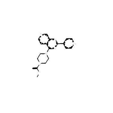 CC(C)(C)OC(=O)N1CCN(c2nc(-c3ccncc3)nc3cnccc23)CC1